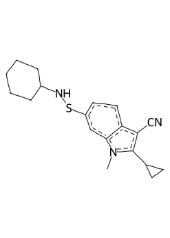 Cn1c(C2CC2)c(C#N)c2ccc(SNC3CCCCC3)cc21